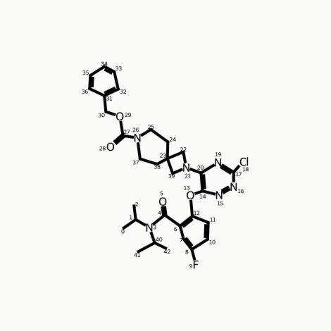 CC(C)N(C(=O)c1cc(F)ccc1Oc1nnc(Cl)nc1N1CC2(CCN(C(=O)OCc3ccccc3)CC2)C1)C(C)C